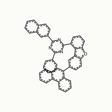 c1ccc(-c2nc(-c3ccc4ccccc4c3)nc(-c3cccc4oc5ccc(-c6cc7ccccc7c7ccccc67)cc5c34)n2)cc1